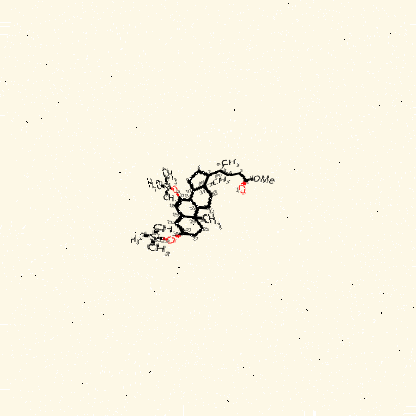 COC(=O)CC[C@@H](C)C1CCC2C3C(O[Si](C)(C)C)=CC4CC(O[Si](C)(C)C)CCC4(C)C3CC[C@@]21C